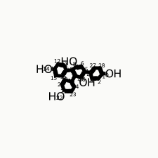 Oc1ccc(-c2cc(O)c(-c3ccc(O)cc3)c(-c3ccc(O)cc3)c2O)cc1